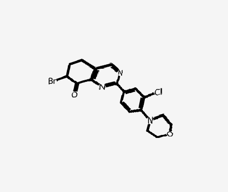 O=C1c2nc(-c3ccc(N4CCOCC4)c(Cl)c3)ncc2CCC1Br